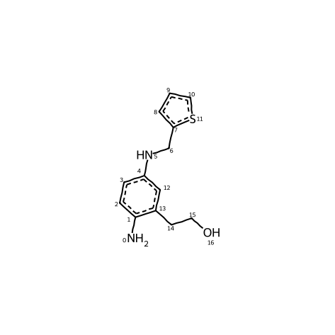 Nc1ccc(NCc2cccs2)cc1CCO